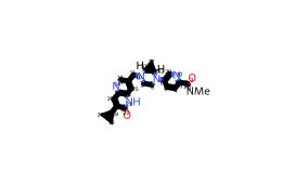 CNC(=O)c1ccc(N2CCN(Cc3cnc4cc(C5CC5)c(=O)[nH]c4c3)[C@H]3C[C@H]32)cn1